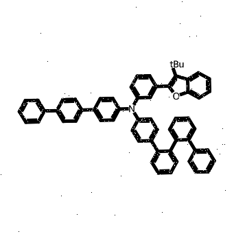 CC(C)(C)c1c(-c2cccc(N(c3ccc(-c4ccc(-c5ccccc5)cc4)cc3)c3ccc(-c4ccccc4-c4ccccc4-c4ccccc4)cc3)c2)oc2ccccc12